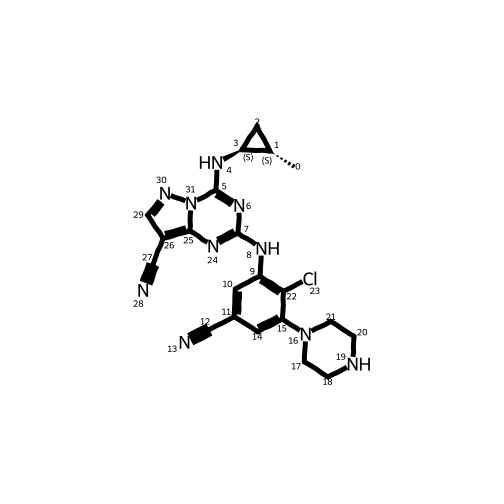 C[C@H]1C[C@@H]1Nc1nc(Nc2cc(C#N)cc(N3CCNCC3)c2Cl)nc2c(C#N)cnn12